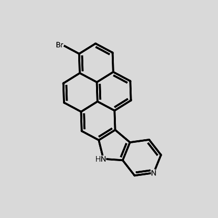 Brc1ccc2ccc3c4c(cc5ccc1c2c53)[nH]c1cnccc14